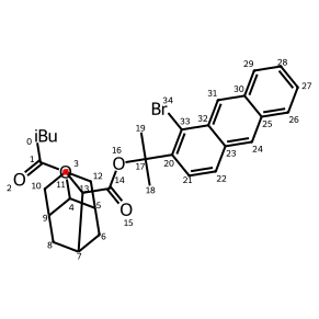 CCC(C)C(=O)OC1C2CC3CC1CC(C2)C3C(=O)OC(C)(C)c1ccc2cc3ccccc3cc2c1Br